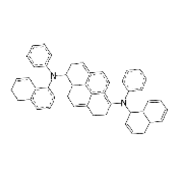 C1=CC2CC=CC(N(C3=c4ccc5c6c4C(=CCC6C(N(c4ccccc4)c4cccc6c4C=CCC6)CC=5)CC3)c3ccccc3)C2C=C1